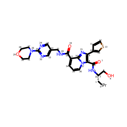 CC(C)C[C@@H](CO)NC(=O)c1c(-c2ccsc2)nc2c(C(=O)NCc3cnc(N4CCOCC4)nc3)cccn12